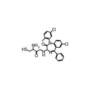 Cc1ccc(Cl)cc1N1C(=O)C(NCC(=O)C(N)CS)N=C(c2ccccc2)c2cc(Cl)ccc21